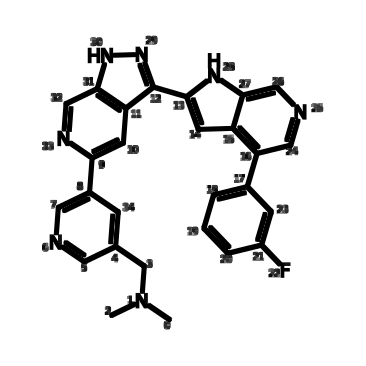 CN(C)Cc1cncc(-c2cc3c(-c4cc5c(-c6cccc(F)c6)cncc5[nH]4)n[nH]c3cn2)c1